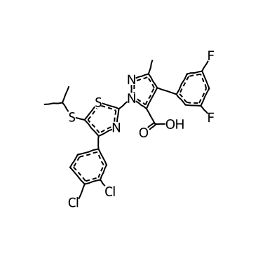 Cc1nn(-c2nc(-c3ccc(Cl)c(Cl)c3)c(SC(C)C)s2)c(C(=O)O)c1-c1cc(F)cc(F)c1